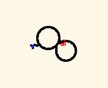 CN(C)CCC1=CC=CC=CC=CC2=CC=CC=CC=CC=CC=CC=CC=CC=CC=CC=CC=CC=CC=C2C(C(=O)O)=CC=CC=CC=CC=CC=CC=CC=CC=C1